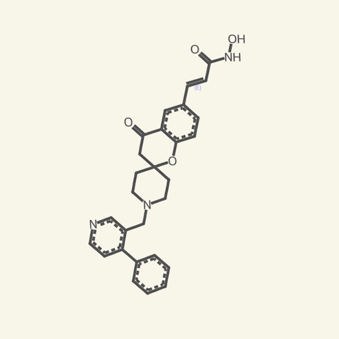 O=C(/C=C/c1ccc2c(c1)C(=O)CC1(CCN(Cc3cnccc3-c3ccccc3)CC1)O2)NO